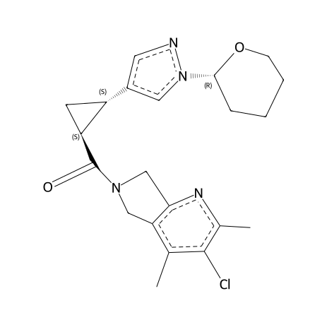 Cc1nc2c(c(C)c1Cl)CN(C(=O)[C@H]1C[C@@H]1c1cnn([C@H]3CCCCO3)c1)C2